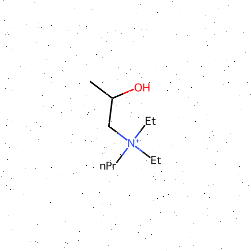 CCC[N+](CC)(CC)CC(C)O